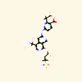 CCC(C)(N)c1cnc(O[C@H](C)CC(C)(C)[S@](C)(=N)=O)c2cnc(Nc3ccc4c(n3)C(C)(C)[C@H](C)OC4=O)cc12